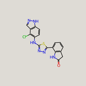 O=C1Cc2cccc(-c3nnc(Nc4ccc5[nH]ncc5c4Cl)s3)c2N1